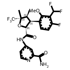 COc1c([C@H]2[C@H](C(=O)Nc3ccnc(C(N)=O)c3)O[C@](C)(C(F)(F)F)[C@H]2C)ccc(F)c1C(F)F